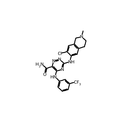 CN1CCc2cc(Nc3nnc(C(N)=O)c(Nc4cccc(C(F)(F)F)c4)n3)c(Cl)cc2C1